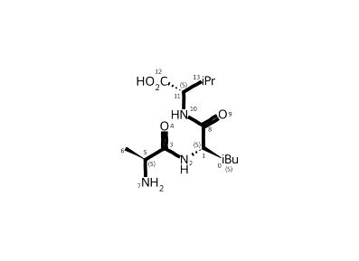 CC[C@H](C)[C@H](NC(=O)[C@H](C)N)C(=O)N[C@H](C(=O)O)C(C)C